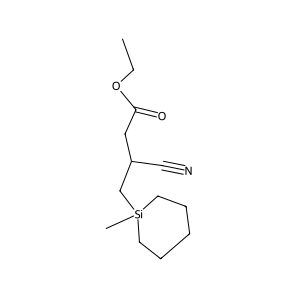 CCOC(=O)CC(C#N)C[Si]1(C)CCCCC1